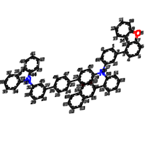 c1cc(-c2cccc3oc4ccccc4c23)cc(N(c2ccc(-c3ccc(-c4cccc(-n5c6ccccc6c6ccccc65)c4)cc3)cc2)c2ccccc2-c2ccc3ccccc3c2)c1